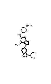 COc1nc(N[C@H]2CC[C@@H](NC(C)=O)CC2)nn2ccc(-c3ccc4nnn(C(CF)CF)c4c3)c12